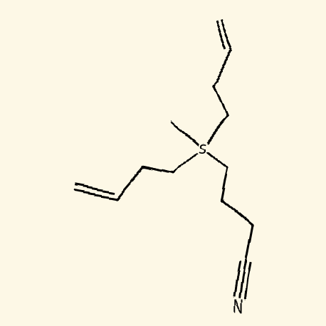 C=CCCS(C)(CCC=C)CCCC#N